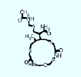 CC(=O)NCSCC(C(N)=O)C1CSCC(=O)NCCCCNC(=O)CSCC1C